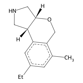 CCc1cc(C)c2c(c1)[C@@H]1CNC[C@@H]1OC2